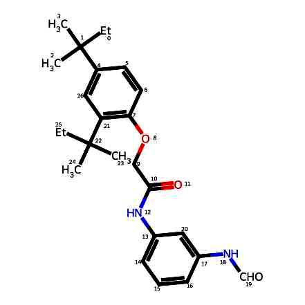 CCC(C)(C)c1ccc(OCC(=O)Nc2cccc(NC=O)c2)c(C(C)(C)CC)c1